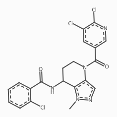 Cn1ncc2c1C(NC(=O)c1ccccc1Cl)CCN2C(=O)c1cnc(Cl)c(Cl)c1